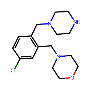 Clc1ccc(CN2CCNCC2)c(CN2CCOCC2)c1